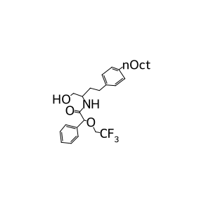 CCCCCCCCc1ccc(CCC(CO)NC(=O)C(OCC(F)(F)F)c2ccccc2)cc1